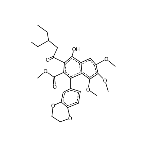 CCC(CC)CC(=O)c1c(C(=O)OC)c(-c2ccc3c(c2)OCCO3)c2c(OC)c(OC)c(OC)cc2c1O